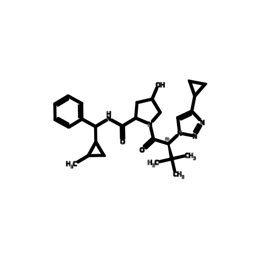 CC1CC1C(NC(=O)C1CC(O)CN1C(=O)[C@@H](n1cc(C2CC2)nn1)C(C)(C)C)c1ccccc1